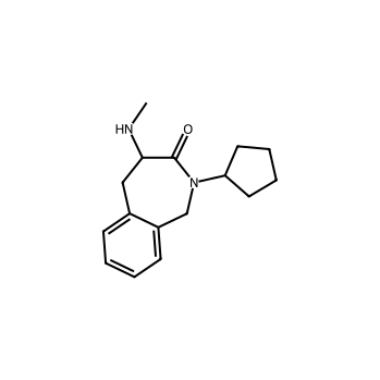 CNC1Cc2ccccc2CN(C2CCCC2)C1=O